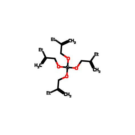 C=C(CC)CO[Si](OCC(=C)CC)(OCC(=C)CC)OCC(=C)CC